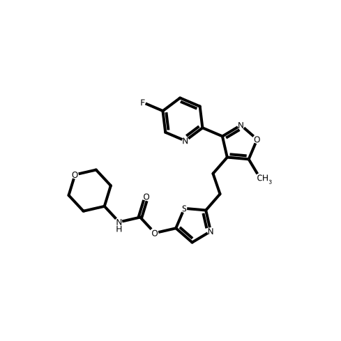 Cc1onc(-c2ccc(F)cn2)c1CCc1ncc(OC(=O)NC2CCOCC2)s1